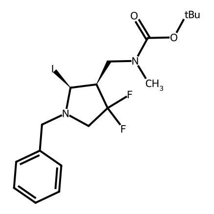 CN(C[C@@H]1[C@H](I)N(Cc2ccccc2)CC1(F)F)C(=O)OC(C)(C)C